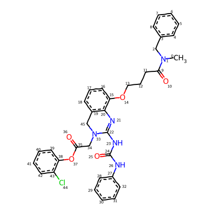 CN(Cc1ccccc1)C(=O)CCCOc1cccc2c1N=C(NC(=O)Nc1ccccc1)N(CC(=O)Oc1ccccc1Cl)C2